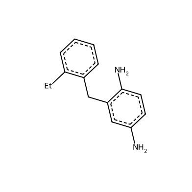 CCc1ccccc1Cc1cc(N)ccc1N